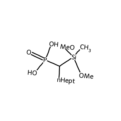 CCCCCCCC([Si](C)(OC)OC)P(=O)(O)O